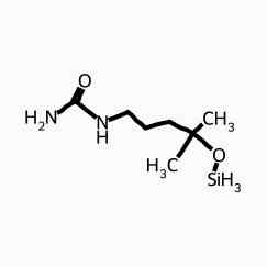 CC(C)(CCCNC(N)=O)O[SiH3]